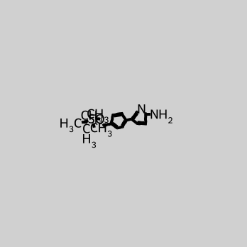 CC(C)(C)[Si](C)(C)OCc1ccc(-c2ccc(N)nc2)cc1